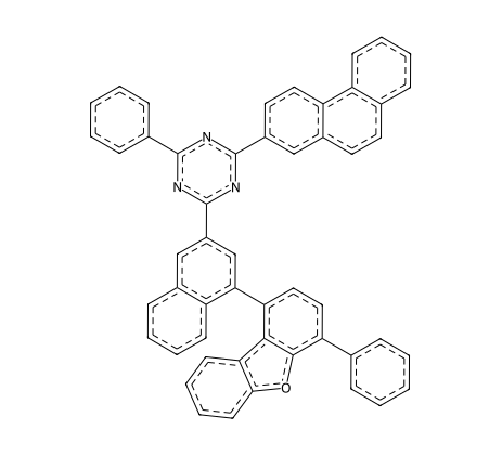 c1ccc(-c2nc(-c3cc(-c4ccc(-c5ccccc5)c5oc6ccccc6c45)c4ccccc4c3)nc(-c3ccc4c(ccc5ccccc54)c3)n2)cc1